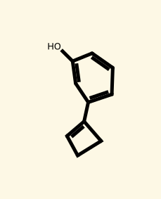 Oc1cccc(C2=CCC2)c1